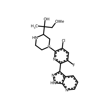 COCC(C)(O)C1CN(c2nc(-c3n[nH]c4ncccc34)c(F)cc2Cl)CCN1